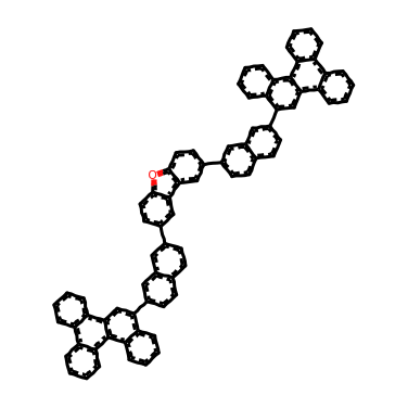 c1ccc2c(c1)c(-c1ccc3ccc(-c4ccc5oc6ccc(-c7ccc8ccc(-c9cc%10c%11ccccc%11c%11ccccc%11c%10c%10ccccc9%10)cc8c7)cc6c5c4)cc3c1)cc1c3ccccc3c3ccccc3c21